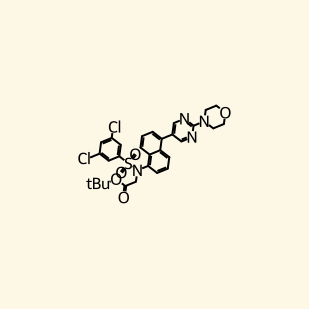 CC(C)(C)OC(=O)CN(c1cccc2c(-c3cnc(N4CCOCC4)nc3)cccc12)S(=O)(=O)c1cc(Cl)cc(Cl)c1